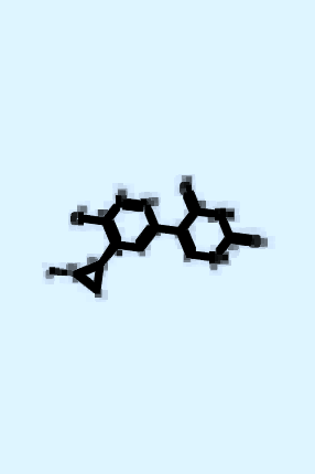 C[C@H]1C[C@@H]1c1cc(-c2c[nH]c(=O)[nH]c2=O)nnc1Cl